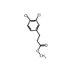 COC(=O)CCc1ccc(Cl)c(Cl)c1